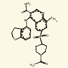 CC(=O)N1CCC(S(=O)(=O)c2cc(C)c3ncc(C(N)=O)c(Nc4cccc5c4CCO5)c3c2)CC1